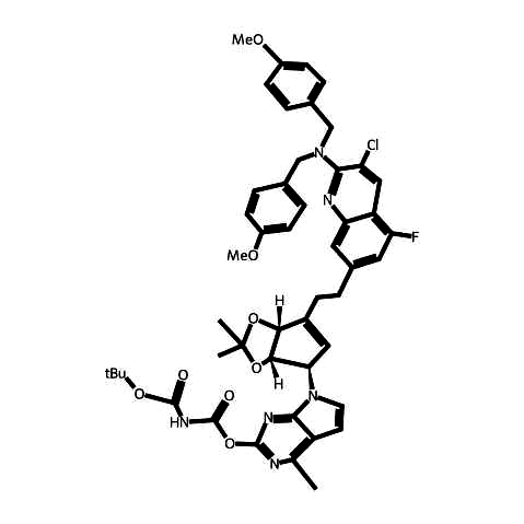 COc1ccc(CN(Cc2ccc(OC)cc2)c2nc3cc(CCC4=C[C@@H](n5ccc6c(C)nc(OC(=O)NC(=O)OC(C)(C)C)nc65)[C@@H]5OC(C)(C)O[C@H]45)cc(F)c3cc2Cl)cc1